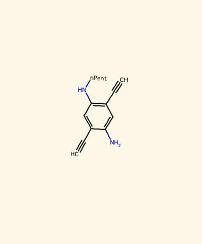 C#Cc1cc(NCCCCC)c(C#C)cc1N